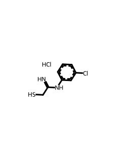 Cl.N=C(CS)Nc1cccc(Cl)c1